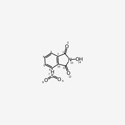 O=C1c2cccc([SH](=O)=O)c2C(=O)N1O